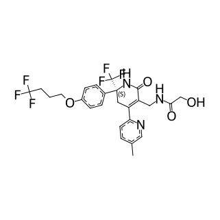 Cc1ccc(C2=C(CNC(=O)CO)C(=O)N[C@@](c3ccc(OCCCC(F)(F)F)cc3)(C(F)(F)F)C2)nc1